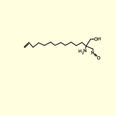 C=CCCCCCCCCCCC(N)(CO)CN=O